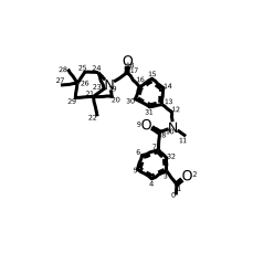 CC(=O)c1cccc(C(=O)N(C)Cc2ccc(C(=O)N3CC4(C)CC3CC(C)(C)C4)cc2)c1